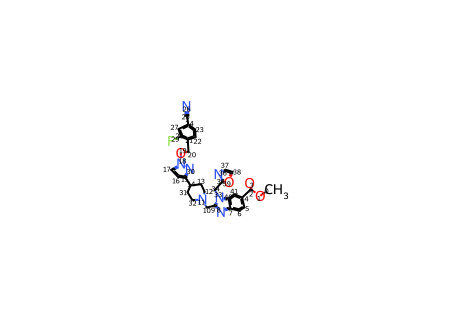 COC(=O)c1ccc2nc(CN3CCC(c4ccn(OCc5ccc(C#N)cc5F)n4)CC3)n(Cc3ncco3)c2c1